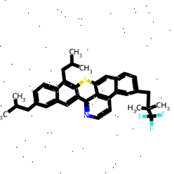 CC(C)Cc1ccc2c(CC(C)C)c3c(cc2c1)-c1nccc2c1c(cc1ccc(CC(C)(C)C(F)(F)F)cc12)S3